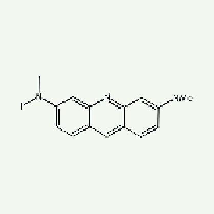 CNc1ccc2cc3ccc(N(C)I)cc3nc2c1